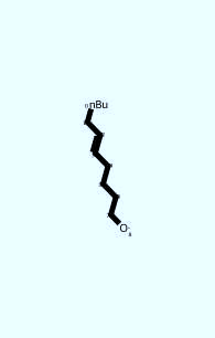 CCCCC/C=C/CCCC[O]